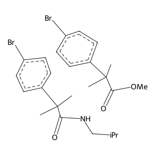 CC(C)CNC(=O)C(C)(C)c1ccc(Br)cc1.COC(=O)C(C)(C)c1ccc(Br)cc1